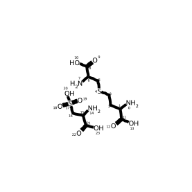 NC(CCSCC(N)C(=O)O)C(=O)O.NC(CS(=O)(=O)O)C(=O)O